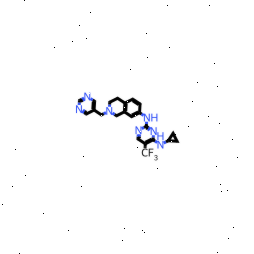 FC(F)(F)c1cnc(Nc2ccc3c(c2)CN(Cc2cncnc2)CC3)nc1NC1CC1